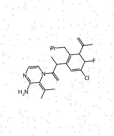 C=C(C)C1C(CC(C)C)=C(C(C)C(=C)N2C=CN=C(N)C2=C(C)C)C=C(Cl)C1F